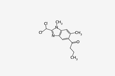 CCCC(=O)c1cc2nc(C(Cl)Cl)n(C)c2cc1C